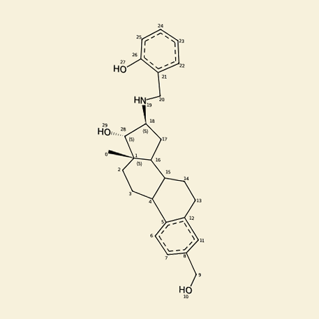 C[C@]12CCC3c4ccc(CO)cc4CCC3C1C[C@H](NCc1ccccc1O)[C@H]2O